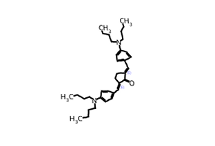 CCCCN(CCCC)c1ccc(/C=C2\CC/C(=C\c3ccc(N(CCCC)CCCC)cc3)C2=O)cc1